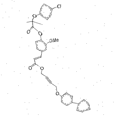 COc1cc(C=CC(=O)OCC#CCOc2ccc(-c3ccccc3)cc2)ccc1OC(=O)C(C)(C)Oc1ccc(Cl)cc1